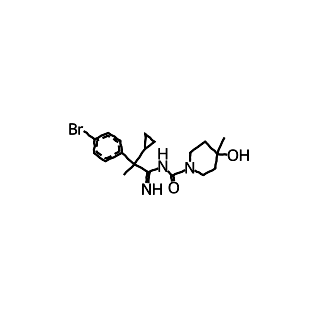 CC1(O)CCN(C(=O)NC(=N)C(C)(c2ccc(Br)cc2)C2CC2)CC1